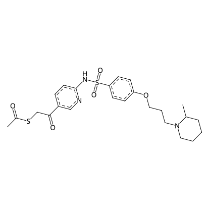 CC(=O)SCC(=O)c1ccc(NS(=O)(=O)c2ccc(OCCCN3CCCCC3C)cc2)nc1